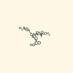 C=CC(=O)N(I)CCN(C)C1=NC(OCCCN2CCN(C)CC2)=NC2CN(c3cc(O)cc4ccccc34)CCC12